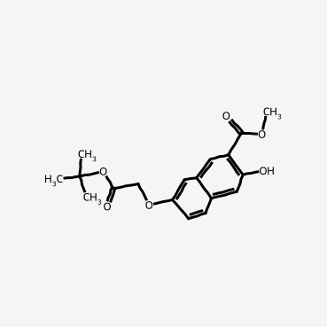 COC(=O)c1cc2cc(OCC(=O)OC(C)(C)C)ccc2cc1O